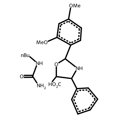 CCCCNC(N)=O.COc1ccc(C2NC(c3ccccc3)C(C(=O)O)O2)c(OC)c1